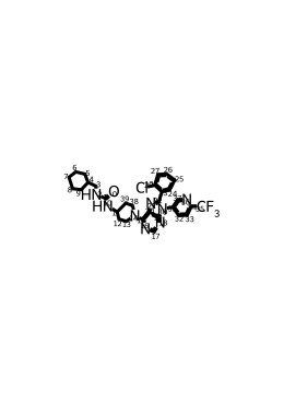 O=C(NCC1CCCCC1)NC1CCN(c2ncnc3c2nc(-c2ccccc2Cl)n3-c2ccc(C(F)(F)F)nc2)CC1